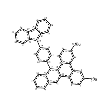 CC(C)(C)c1ccc2c(c1)c1cc(C(C)(C)C)ccc1c1c(-c3ccc(-n4c5ccccc5c5ccccc54)cc3)c3ccccc3cc21